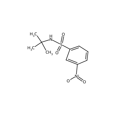 CC(C)(C)NS(=O)(=O)c1cccc([N+](=O)[O-])c1